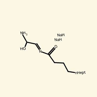 CCCCCCCCCCC(=O)N=CC(N)O.[NaH].[NaH]